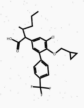 CCCC(C)C(C(=O)O)c1cc(Cl)c(OCC2CC2)c(-c2ccc(C(F)(F)F)cc2)c1